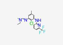 CCN(C)C=Nc1cc(C)cc(Nc2cccc(C(F)(F)F)n2)c1Cl